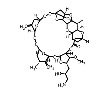 C=C1C[C@@H]2CC[C@@]34C[C@H]5OC6C(O[C@H]7CC[C@H](CC(=O)C[C@@H]8[C@@H](OC)[C@@H](C[C@H](O)CN)O[C@H]8C[C@H]8O[C@@H](CC[C@@H]1O2)C[C@@H](C)C8=C)O[C@@H]7[C@@H]6O3)C5O4